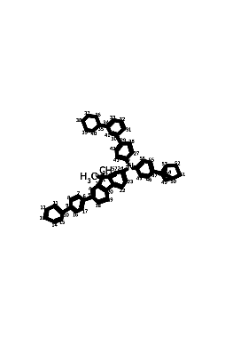 CC1(C)c2cc(-c3ccc(-c4ccccc4)cc3)ccc2-c2ccc(N(c3ccc(-c4cccc(C5CCCCC5)c4)cc3)c3ccc(C4CC5CCC4C5)cc3)cc21